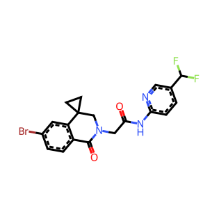 O=C(CN1CC2(CC2)c2cc(Br)ccc2C1=O)Nc1ccc(C(F)F)cn1